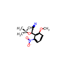 COc1cccc([N+](=O)[O-])c1C(C#N)O[Si](C)(C)C